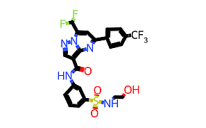 O=C(Nc1cccc(S(=O)(=O)NCCO)c1)c1cnn2c(C(F)F)cc(-c3ccc(C(F)(F)F)cc3)nc12